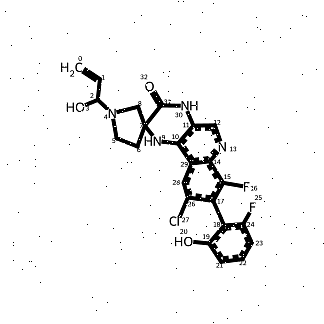 C=CC(O)N1CCC2(C1)Nc1c(cnc3c(F)c(-c4c(O)cccc4F)c(Cl)cc13)NC2=O